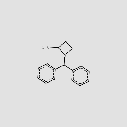 O=CC1CCN1C(c1ccccc1)c1ccccc1